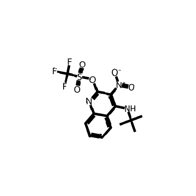 CC(C)(C)Nc1c([N+](=O)[O-])c(OS(=O)(=O)C(F)(F)F)nc2ccccc12